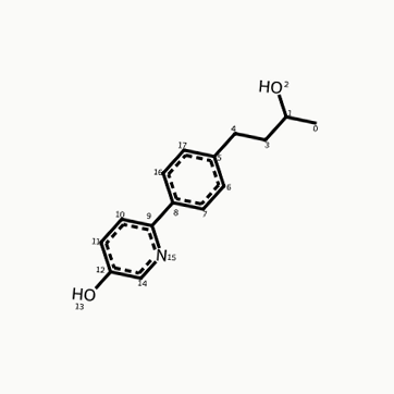 CC(O)CCc1ccc(-c2ccc(O)cn2)cc1